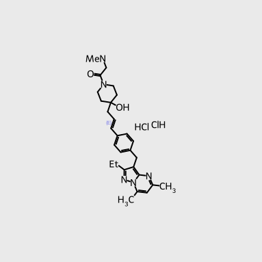 CCc1nn2c(C)cc(C)nc2c1Cc1ccc(/C=C/CC2(O)CCN(C(=O)CNC)CC2)cc1.Cl.Cl